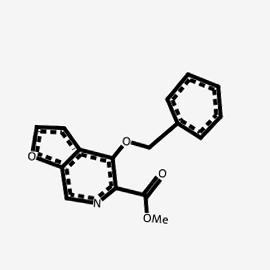 COC(=O)c1ncc2occc2c1OCc1ccccc1